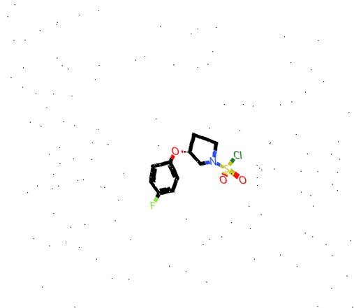 O=S(=O)(Cl)N1CC[C@@H](Oc2ccc(F)cc2)C1